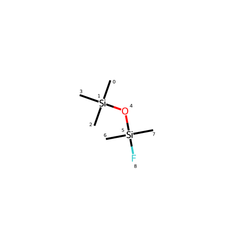 C[Si](C)(C)O[Si](C)(C)F